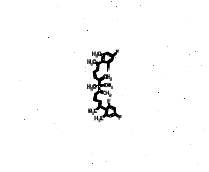 C=C(/C=C\C=C(/C)c1c(C)cc(F)cc1F)C(C)(C)C(=C)/C=C\C=C(/C)c1c(C)cc(F)cc1F